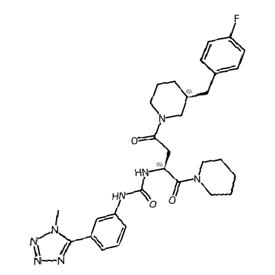 Cn1nnnc1-c1cccc(NC(=O)N[C@@H](CC(=O)N2CCC[C@@H](Cc3ccc(F)cc3)C2)C(=O)N2CCCCC2)c1